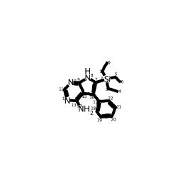 CC[Si](CC)(CC)c1[nH]c2ncnc(N)c2c1-c1ccccc1